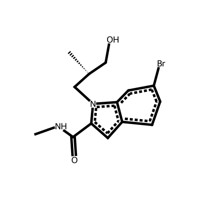 CNC(=O)c1cc2ccc(Br)cc2n1C[C@H](C)CO